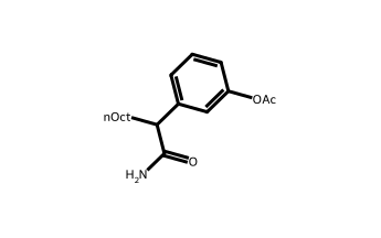 CCCCCCCCC(C(N)=O)c1cccc(OC(C)=O)c1